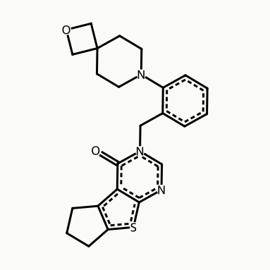 O=c1c2c3c(sc2ncn1Cc1ccccc1N1CCC2(CC1)COC2)CCC3